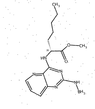 BNc1nc(N[C@H](CCCCC)C(=O)OC)c2ncccc2n1